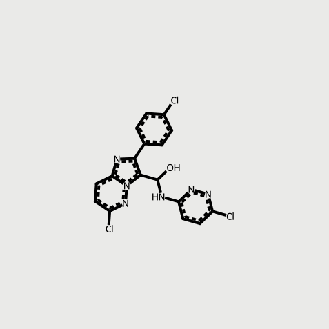 OC(Nc1ccc(Cl)nn1)c1c(-c2ccc(Cl)cc2)nc2ccc(Cl)nn12